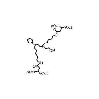 CCCCCCCCC(CCCCCCCC)CC(=O)NCCCCCN(CCN(CCO)CCCCCOC(=O)CC(CCCCCCCC)CCCCCCCC)C1CCCC1